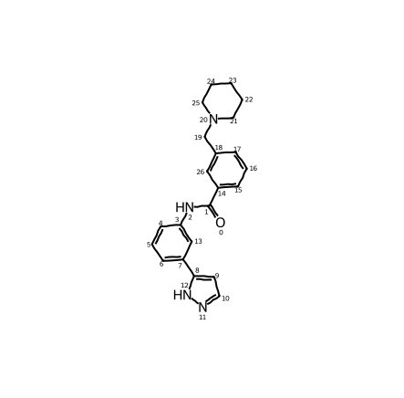 O=C(Nc1cccc(-c2ccn[nH]2)c1)c1cccc(CN2CCCCC2)c1